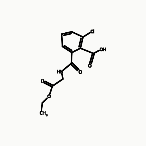 CCOC(=O)CNC(=O)c1cccc(Cl)c1C(=O)O